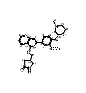 COc1cc(-c2cc3ncccc3c(OCC3CNC(=O)C3)n2)ccc1O[C@@H]1CCCN(C)C1